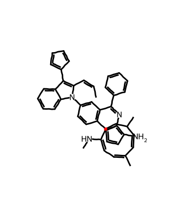 C/C=C\c1c(C2=C=CC=C2)c2ccccc2n1-c1ccc(C2=C\C(C)\C=C/C(C)=C\C=C/2NC)c(/C(=N\C2=C(N)C=C=C2)c2ccccc2)c1